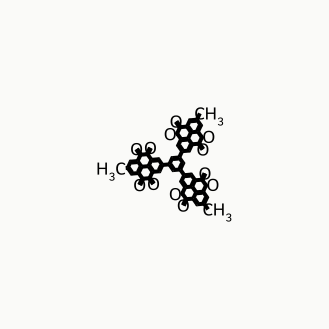 Cc1cc2c3c(c1)c(=O)c(=O)c1cc(-c4cc(-c5cc6c7c(c5)c(=O)c(=O)c5cc(C)cc(c5-7)c(=O)c6=O)cc(-c5cc6c7c(c5)c(=O)c(=O)c5cc(C)cc(c5-7)c(=O)c6=O)c4)cc(c1-3)c(=O)c2=O